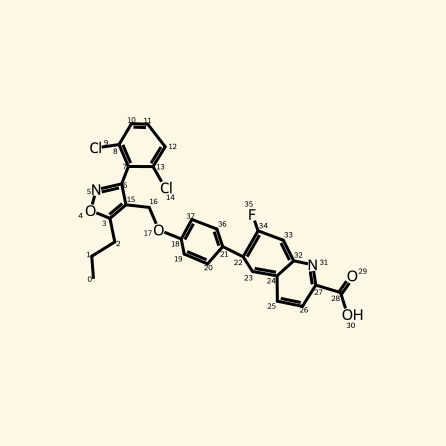 CCCc1onc(-c2c(Cl)cccc2Cl)c1COc1ccc(-c2cc3ccc(C(=O)O)nc3cc2F)cc1